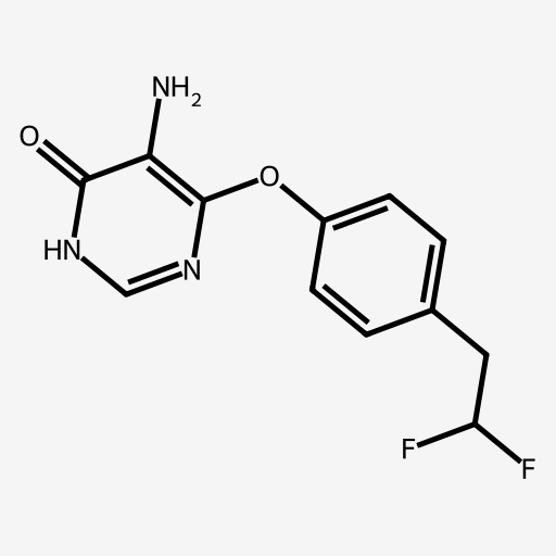 Nc1c(Oc2ccc(CC(F)F)cc2)nc[nH]c1=O